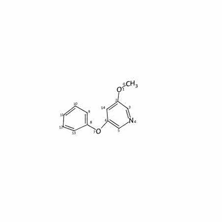 COc1cncc(Oc2cc[c]cc2)c1